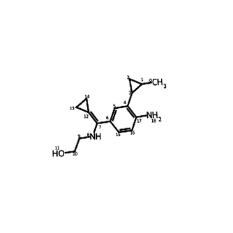 CC1CC1c1cc(C(NCCO)=C2CC2)ccc1N